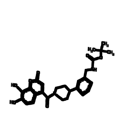 CC(C)(C)OC(=O)NCc1cccc(C2CCN(C(=O)c3cc(=O)oc4c(O)c(O)ccc34)CC2)c1